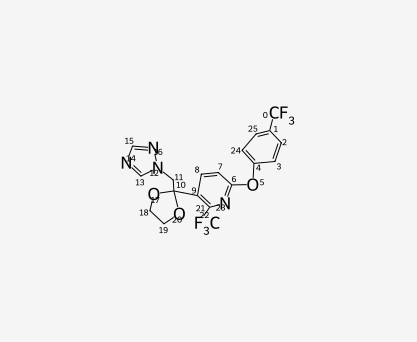 FC(F)(F)c1ccc(Oc2ccc(C3(Cn4cncn4)OCCO3)c(C(F)(F)F)n2)cc1